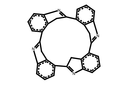 c1cc2c3c(c1)C1=Nc4cccc(c4C1)C1=Nc4cccc(c4C1)C1=Nc4cccc(c4C1)C(=N2)C3